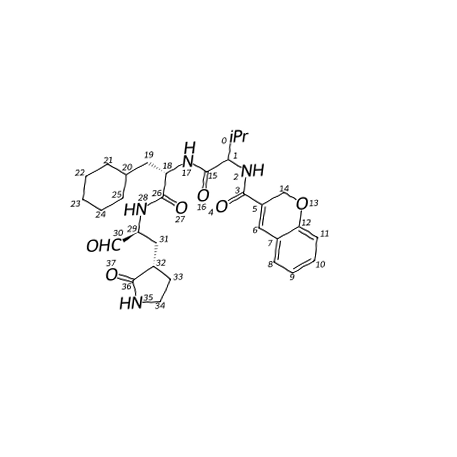 CC(C)C(NC(=O)C1=Cc2ccccc2OC1)C(=O)N[C@@H](CC1CCCCC1)C(=O)N[C@H](C=O)C[C@@H]1CCNC1=O